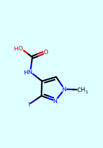 Cn1cc(NC(=O)O)c(I)n1